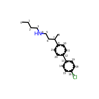 CCCCNCCC(C)c1ccc(-c2ccc(Cl)cc2)cc1